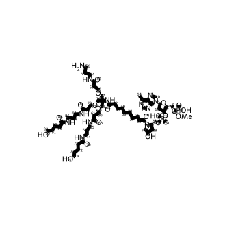 COP(=O)(O)OC[C@H]1O[C@@H](n2cnc3c(C)ncnc32)C[C@@H]1OP(=O)(O)OC[C@@H]1C[C@@H](O)CN1C(=O)CCCCCCCCC(=O)NC(COCCC(=O)NCCCN)(COCCC(=O)NCCCNC(=O)CCCCO)COCCC(=O)NCCCNC(=O)CCCCO